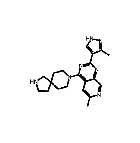 Cc1cc2c(N3CCC4(CCNC4)CC3)nc(-c3c[nH]nc3C)nc2cn1